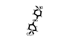 C[Si]1(Cl)CCC(SSC2CC[Si](C)(Cl)CC2)CC1